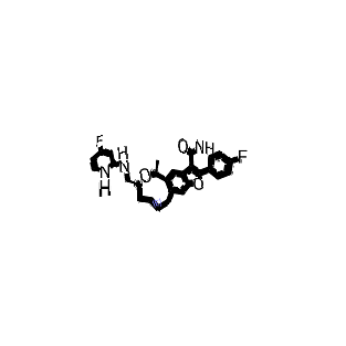 C[C@@H]1O[C@H](CNC2C=C(F)C=CN2)C/C=C/Cc2cc3oc(-c4ccc(F)cc4)c(C(N)=O)c3cc21